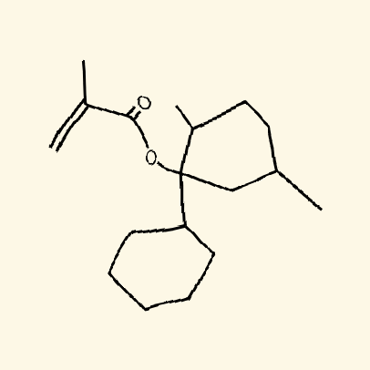 C=C(C)C(=O)OC1(C2CCCCC2)CC(C)CCC1C